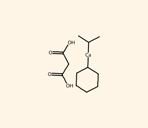 C[CH](C)[Ca][CH]1CCCCC1.O=C(O)CC(=O)O